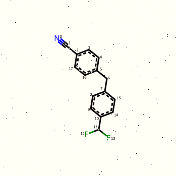 N#Cc1ccc(Cc2ccc(C(F)F)cc2)cc1